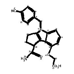 N#Cc1ccc(Cn2c3c(c4c(OCC(=O)O)cccc42)C(C(N)=O)CC3)cc1